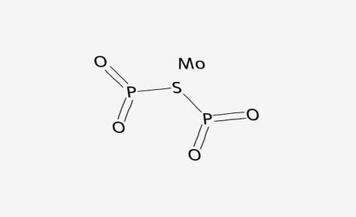 O=P(=O)SP(=O)=O.[Mo]